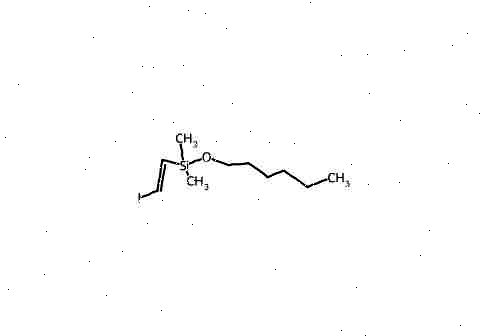 CCCCCCO[Si](C)(C)C=CI